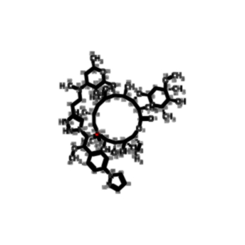 CC[C@H]1OC(=O)[C@H](C)[C@@H](O[C@H]2C[C@@](C)(OC)[C@@H](O)[C@H](C)O2)[C@H](C)[C@@H](O[C@@H]2O[C@H](C)C[C@H](N(C)CCC3=CN([C@H](CF)[C@H](OC)c4ccc(-n5cccn5)cc4)NN3)[C@H]2O)[C@](C)(O)C[C@@H](C)CN(C)[C@H](C)[C@@H](O)[C@]1(C)O